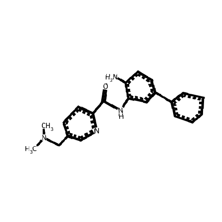 CN(C)Cc1ccc(C(=O)Nc2cc(-c3ccccc3)ccc2N)nc1